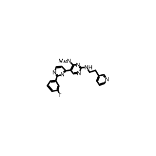 CNc1nc(NCCc2cccnc2)ncc1-c1ccnc(-c2cccc(F)c2)n1